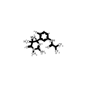 CN1C(=O)C(C)(C)[C@](C)(c2cc(NC(=O)C(C(F)(F)F)C(F)(F)F)ccc2F)N=C1N